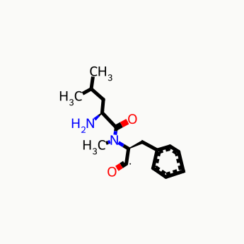 CC(C)C[C@H](N)C(=O)N(C)[C@H]([C]=O)Cc1ccccc1